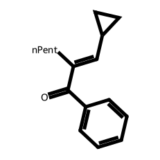 CCCCCC(=CC1CC1)C(=O)c1ccccc1